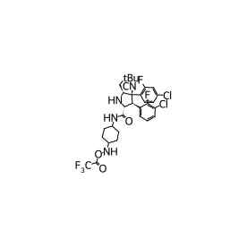 CC(C)(C)C[C@@H]1N[C@@H](C(=O)NC2CCC(NOC(=O)C(F)(F)F)CC2)[C@H](c2cccc(Cl)c2F)[C@@]1(C#N)c1ccc(Cl)cc1F